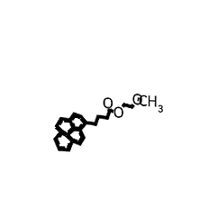 COCCOC(=O)CCCc1ccc2ccc3cccc4ccc1c2c34